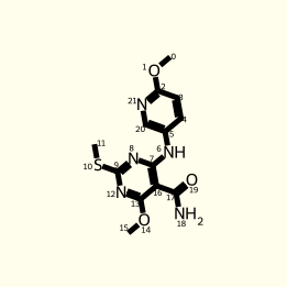 COc1ccc(Nc2nc(SC)nc(OC)c2C(N)=O)cn1